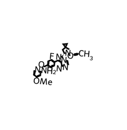 CC#CON1CC2(CC2)C[C@H]1c1nc(-c2ccc(C(=O)Nc3cc(OC)ccn3)cc2F)c2c(N)nccn12